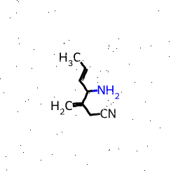 C=C(CC#N)C(N)C=CC